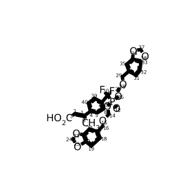 C/C(=C\C(=O)O)c1ccc(C(F)(F)P(=O)(OCOCc2ccc3c(c2)OCO3)OCOCc2ccc3c(c2)OCO3)cc1